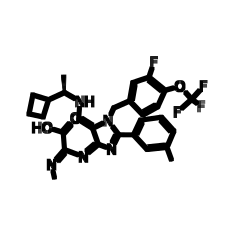 C\N=C(/N=C1/N=C(c2cccc(C)c2)N(Cc2ccc(OC(F)(F)F)c(F)c2)/C1=C\N[C@H](C)C1CCC1)C(=O)O